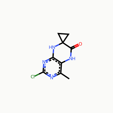 Cc1nc(Cl)nc2c1NC(=O)C1(CC1)N2